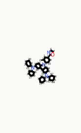 Cc1cc(-c2ncco2)ccc1-n1c2ccc(N(c3ccccc3)c3ccccc3)cc2c2cc(N(c3ccccc3)c3ccccc3)ccc21